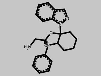 NCC(=O)OC1(n2ncc3ccccc32)CCCCC1Nc1ccccc1